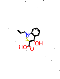 C=CCN1SC(C(=O)O)=C(O)c2ccccc21